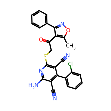 Cc1onc(-c2ccccc2)c1C(=O)CSc1nc(N)c(C#N)c(-c2ccccc2Cl)c1C#N